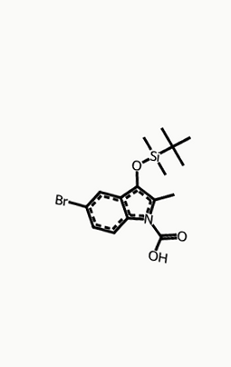 Cc1c(O[Si](C)(C)C(C)(C)C)c2cc(Br)ccc2n1C(=O)O